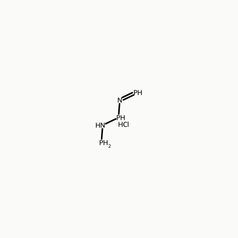 Cl.P=NPNP